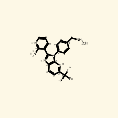 Cl.NCc1ccc(-n2c(-c3cccnc3N)nc3ccc(C(F)(F)F)nc32)cc1